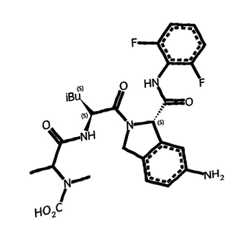 CC[C@H](C)[C@H](NC(=O)C(C)N(C)C(=O)O)C(=O)N1Cc2ccc(N)cc2[C@H]1C(=O)Nc1c(F)cccc1F